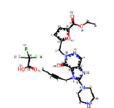 CC#CCn1c(N2CCNCC2)nc2cnn(Cc3ccc(C(=O)OCC)o3)c(=O)c21.O=C(O)C(F)(F)F